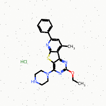 CCOc1nc(N2CCNCC2)c2sc3nc(-c4ccccc4)cc(C)c3c2n1.Cl